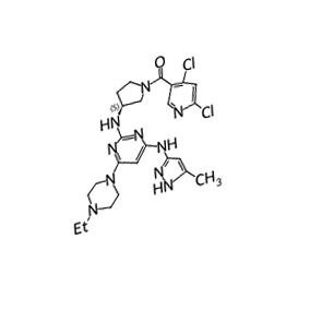 CCN1CCN(c2cc(Nc3cc(C)[nH]n3)nc(N[C@H]3CCN(C(=O)c4cnc(Cl)cc4Cl)C3)n2)CC1